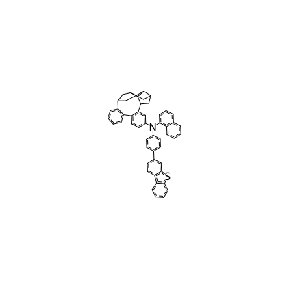 c1ccc2c(c1)-c1ccc(N(c3ccc(-c4ccc5c(c4)sc4ccccc45)cc3)c3cccc4ccccc34)cc1C1CC3CC4CC2CC3C41